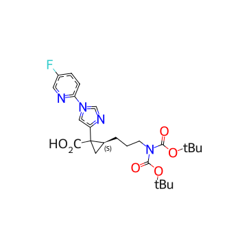 CC(C)(C)OC(=O)N(CCC[C@H]1CC1(C(=O)O)c1cn(-c2ccc(F)cn2)cn1)C(=O)OC(C)(C)C